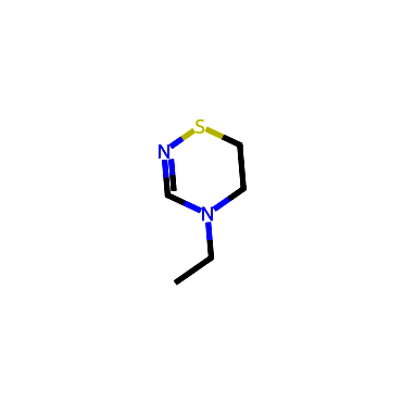 CCN1C=NSCC1